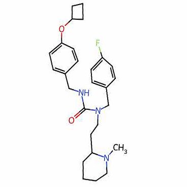 CN1CCCCC1CCN(Cc1ccc(F)cc1)C(=O)NCc1ccc(OC2CCC2)cc1